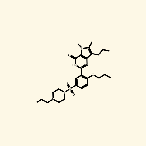 CCCOc1ccc(S(=O)(=O)N2CCN(CCF)CC2)cc1-c1nc2c(CCC)c(C)n(C)c2c(=O)[nH]1